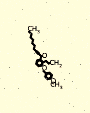 C=CCc1c(OCc2ccc(OC)cc2)cccc1C(=O)C#CCCCCCCCC